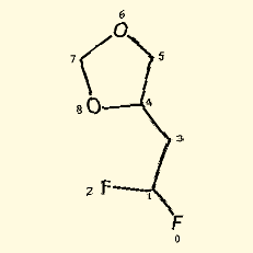 FC(F)CC1COCO1